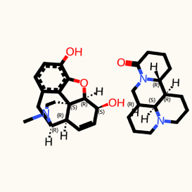 CN1CC[C@]23c4c5ccc(O)c4O[C@H]2[C@@H](O)C=C[C@H]3[C@H]1C5.O=C1CCC[C@@H]2[C@H]3CCCN4CCC[C@H](CN12)[C@@H]34